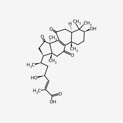 C/C(=C\[C@@H](O)C[C@@H](C)[C@H]1CC(=O)[C@@]2(C)C3=C(C(=O)C[C@]12C)[C@@]1(C)CC[C@H](O)C(C)(C)[C@@H]1CC3=O)C(=O)O